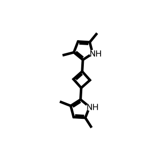 Cc1cc(C)c(C2=CC(c3[nH]c(C)cc3C)C2)[nH]1